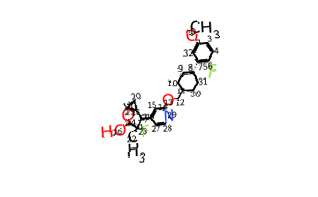 COc1ccc(F)c([C@H]2CC[C@H](COc3cc([C@H](C4CC4)C(C)(F)C(=O)O)ccn3)CC2)c1